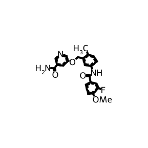 COc1ccc(C(=O)Nc2ccc(C)c(COc3cncc(C(N)=O)c3)c2)cc1F